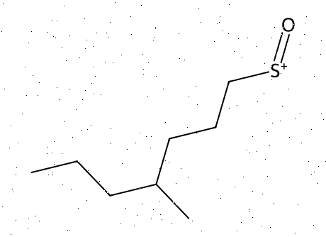 CCCC(C)CCC[S+]=O